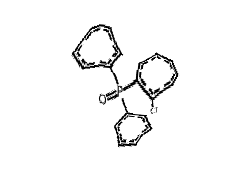 O=P(c1ccccc1)(c1ccccc1)c1ccccc1Cl